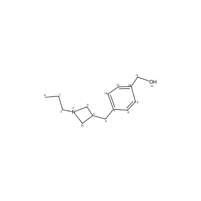 CCCN1CC(Cc2ccc(CO)cc2)C1